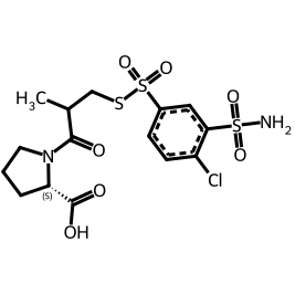 CC(CSS(=O)(=O)c1ccc(Cl)c(S(N)(=O)=O)c1)C(=O)N1CCC[C@H]1C(=O)O